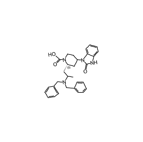 CC(C[C@H]1CC(n2c(=O)[nH]c3ccccc32)CCN1C(=O)O)N(Cc1ccccc1)Cc1ccccc1